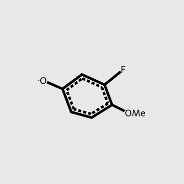 COc1ccc([O])cc1F